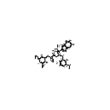 CCc1cccc(CN(C[C@@H](O)[C@@H](N)Cc2cc(F)cc(F)c2)C(=O)c2nc3ccccc3[nH]2)c1